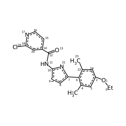 CCOc1cc(C)c(-c2csc(NC(=O)c3ccnc(Cl)c3)n2)c(C)c1